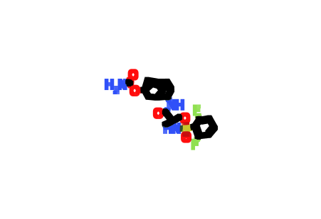 CC(C)(NS(=O)(=O)c1c(F)cccc1F)C(=O)NC1C2CC3CC1CC(OC(N)=O)(C3)C2